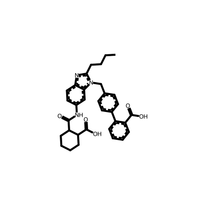 CCCCc1nc2ccc(NC(=O)C3CCCCC3C(=O)O)cc2n1Cc1ccc(-c2ccccc2C(=O)O)cc1